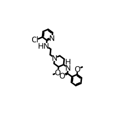 COc1ccccc1C(=O)NC1CCN(CCNc2ncccc2Cl)CC1OC